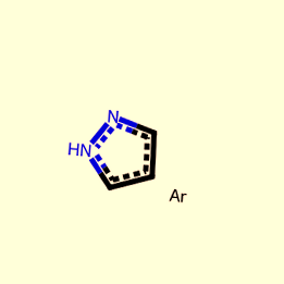 [Ar].c1cn[nH]c1